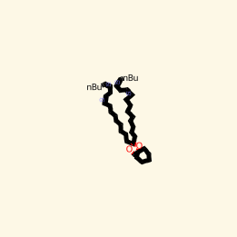 CCCC/C=C\C/C=C\CCCCCCCCC1(CCCCCCCC/C=C\C/C=C\CCCC)OCC2(CCCCC2)O1